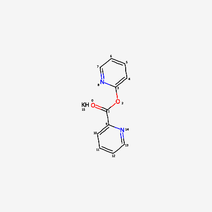 O=C(Oc1ccccn1)c1ccccn1.[KH]